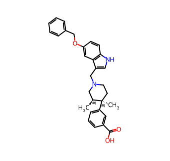 C[C@H]1CN(Cc2c[nH]c3ccc(OCc4ccccc4)cc23)CC[C@@]1(C)c1cccc(C(=O)O)c1